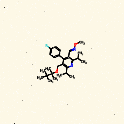 CON=Cc1c(C(C)C)nc(C(C)C)c(CO[Si](C)(C)C(C)(C)C)c1-c1ccc(F)cc1